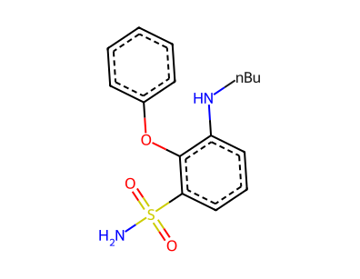 CCCCNc1cccc(S(N)(=O)=O)c1Oc1ccccc1